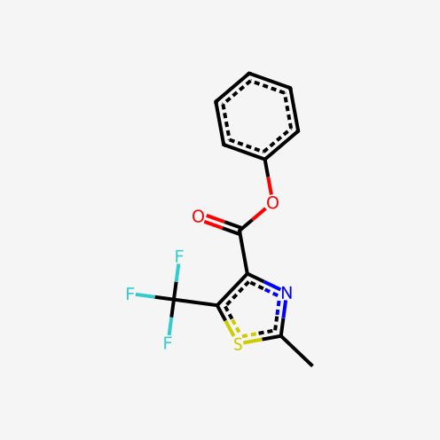 Cc1nc(C(=O)Oc2ccccc2)c(C(F)(F)F)s1